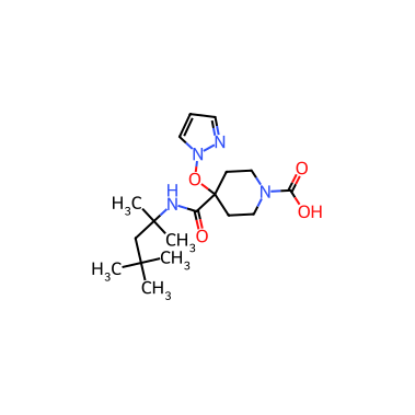 CC(C)(C)CC(C)(C)NC(=O)C1(On2cccn2)CCN(C(=O)O)CC1